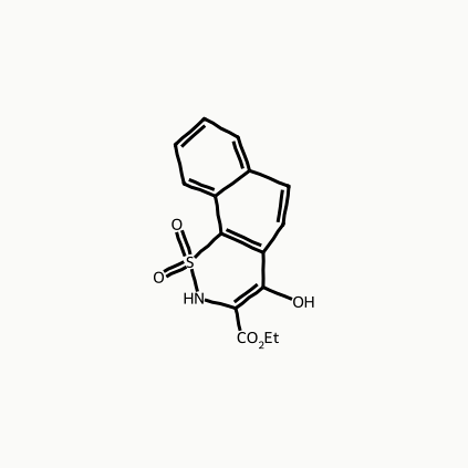 CCOC(=O)C1=C(O)c2ccc3ccccc3c2S(=O)(=O)N1